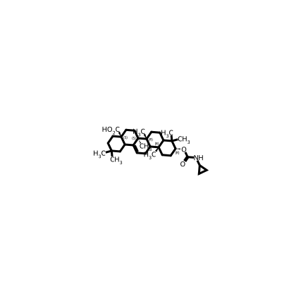 CC1(C)CC[C@]2(C(=O)O)CC[C@]3(C)C(=CCC4[C@@]5(C)CC[C@@H](OC(=O)NC6CC6)C(C)(C)C5CC[C@]43C)C2C1